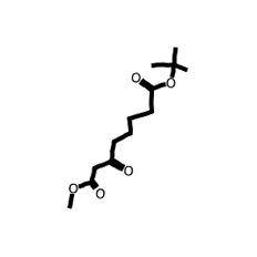 COC(=O)CC(=O)CCCCC(=O)OC(C)(C)C